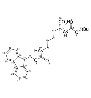 CC(C)(C)OC(=O)[AsH][C@@H](CCCC[AsH]C(=O)OCC1c2ccccc2-c2ccccc21)C(=O)O